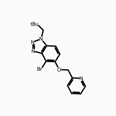 CC(C)(C)Cn1nnc2c(Br)c(OCc3ccccn3)ccc21